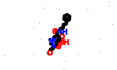 COCCN1CN(C)n2cc(C(=O)NCCCCc3ccccc3)c(=O)c(O)c2C1=O